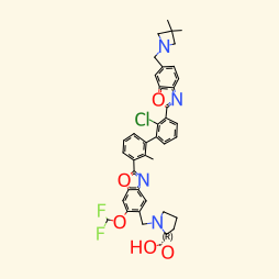 Cc1c(-c2nc3cc(CN4CCC[C@@H]4C(=O)O)c(OC(F)F)cc3o2)cccc1-c1cccc(-c2nc3ccc(CN4CC(C)(C)C4)cc3o2)c1Cl